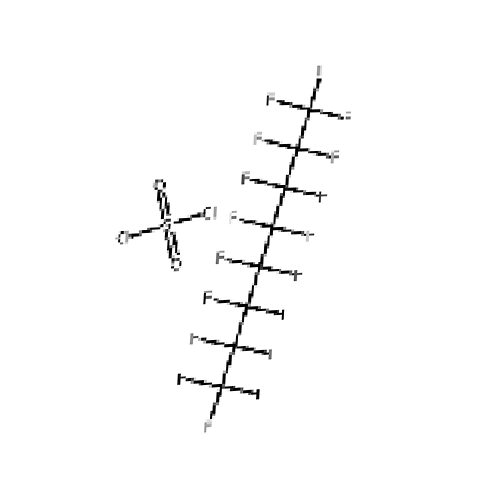 FC(F)(F)C(F)(F)C(F)(F)C(F)(F)C(F)(F)C(F)(F)C(F)(F)C(F)(F)F.O=S(=O)(Cl)Cl